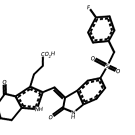 O=C(O)CCc1c(/C=C2\C(=O)Nc3ccc(S(=O)(=O)Cc4ccc(F)cc4)cc32)[nH]c2c1C(=O)CCC2